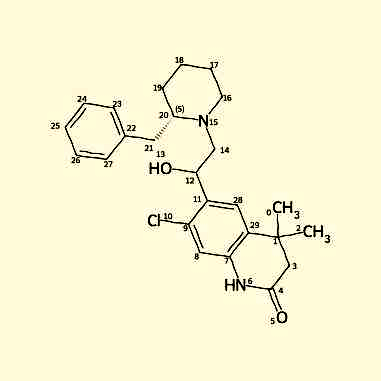 CC1(C)CC(=O)Nc2cc(Cl)c(C(O)CN3CCCC[C@H]3Cc3ccccc3)cc21